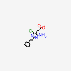 COC(=O)CCc1c(N)nc(/C=C/c2ccccc2)nc1Cl